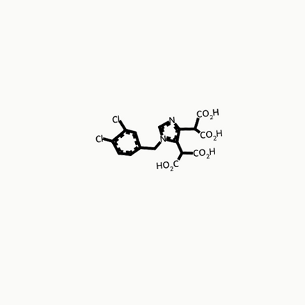 O=C(O)C(C(=O)O)c1ncn(Cc2ccc(Cl)c(Cl)c2)c1C(C(=O)O)C(=O)O